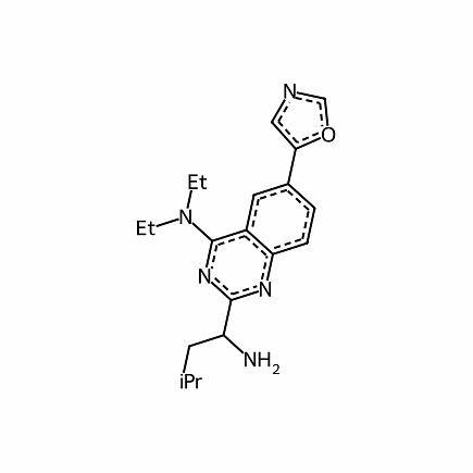 CCN(CC)c1nc(C(N)CC(C)C)nc2ccc(-c3cnco3)cc12